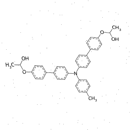 Cc1ccc(N(c2ccc(-c3ccc(OC(C)O)cc3)cc2)c2ccc(-c3ccc(OC(C)O)cc3)cc2)cc1